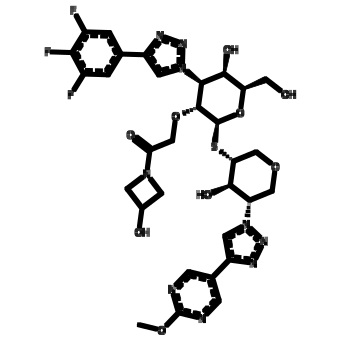 COc1ncc(-c2cn([C@H]3COC[C@@H](S[C@@H]4O[C@H](CO)[C@H](O)[C@H](n5cc(-c6cc(F)c(F)c(F)c6)nn5)[C@H]4OCC(=O)N4CC(O)C4)[C@@H]3O)nn2)cn1